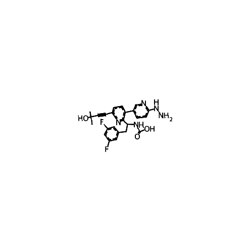 CC(C)(O)C#Cc1ccc(-c2ccc(NN)nc2)c(C(Cc2cc(F)cc(F)c2)NC(=O)O)n1